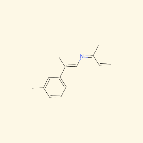 C=C/C(C)=N\C=C(/C)c1cccc(C)c1